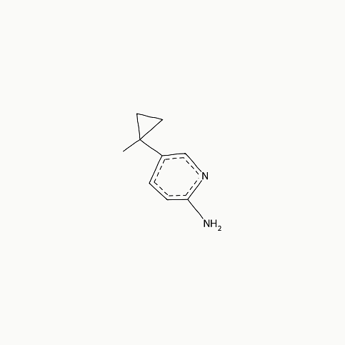 CC1(c2ccc(N)nc2)CC1